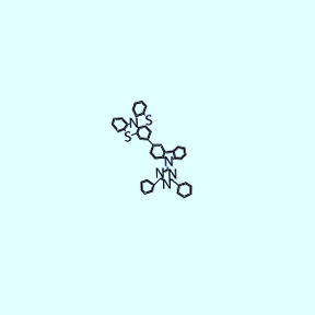 c1ccc(-c2nc(-c3ccccc3)nc(-n3c4ccccc4c4cc(-c5cc6c7c(c5)Sc5ccccc5N7c5ccccc5S6)ccc43)n2)cc1